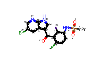 CCCS(=O)(=O)Nc1ccc(F)c(C(=O)c2c[nH]c3ncc(Br)cc23)c1I